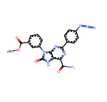 CCCCOC(=O)c1cccc(-n2c(=O)[nH]c3c(C(N)=O)nc(-c4ccc(N=[N+]=[N-])cc4)nc32)c1